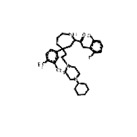 O=C(Cc1c(F)cccc1Cl)C1CC(CCN2CCN(C3CCCCC3)CC2)(c2ccc(C(F)(F)F)c(C(F)(F)F)c2)CCCN1